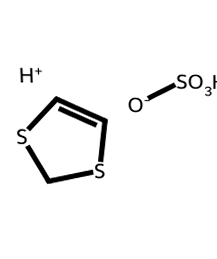 C1=CSCS1.O=S(=O)([O-])O.[H+]